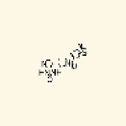 O=C(c1ccc2ncsc2c1)N1CCC(c2ccnc3[nH]c(=O)[nH]c23)CC1